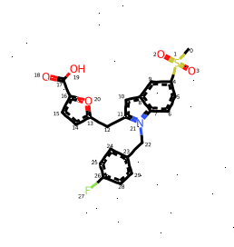 CS(=O)(=O)c1ccc2c(c1)cc(Cc1ccc(C(=O)O)o1)n2Cc1ccc(F)cc1